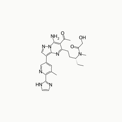 CC[C@H](CCc1nc2c(-c3cnc(-c4ncc[nH]4)c(C)c3)cnn2c(N)c1C(C)=O)N(C)C(=O)CO